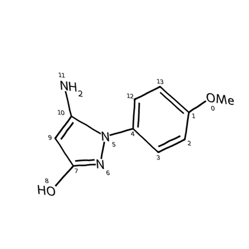 COc1ccc(-n2nc(O)cc2N)cc1